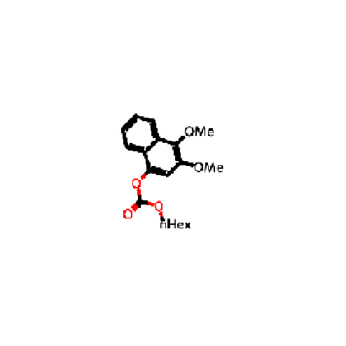 CCCCCCOC(=O)Oc1cc(OC)c(OC)c2ccccc12